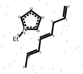 C=CCC=CC=CC.CCn1cccc1